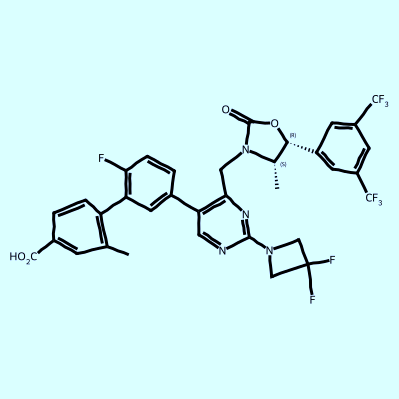 Cc1cc(C(=O)O)ccc1-c1cc(-c2cnc(N3CC(F)(F)C3)nc2CN2C(=O)O[C@H](c3cc(C(F)(F)F)cc(C(F)(F)F)c3)[C@@H]2C)ccc1F